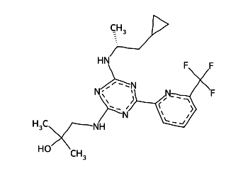 C[C@H](CC1CC1)Nc1nc(NCC(C)(C)O)nc(-c2cccc(C(F)(F)F)n2)n1